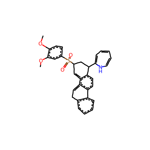 COc1ccc(S(=O)(=O)C2C=c3c(ccc4c3=CCc3ccccc3-4)C(C3=CC=CC=CN3)C2)cc1OC